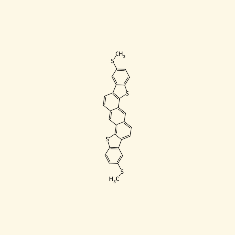 CSc1ccc2sc3c4cc5ccc6c7cc(SC)ccc7sc6c5cc4ccc3c2c1